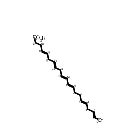 CCC=CCC=CCCC=CC=CCC=CCC=CCCC(=O)O